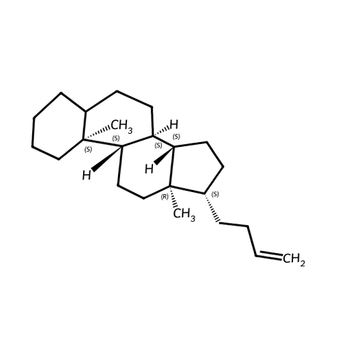 C=CCC[C@H]1CC[C@H]2[C@@H]3CCC4CCCC[C@]4(C)[C@H]3CC[C@]12C